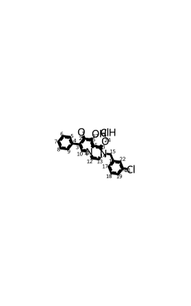 Cl.O=c1c(-c2ccccc2)cn2ccn(Cc3cccc(Cl)c3)c(=O)c2c1O